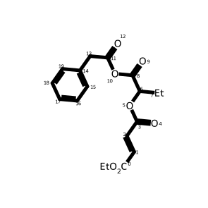 CCOC(=O)/C=C/C(=O)OC(CC)C(=O)OC(=O)Cc1ccccc1